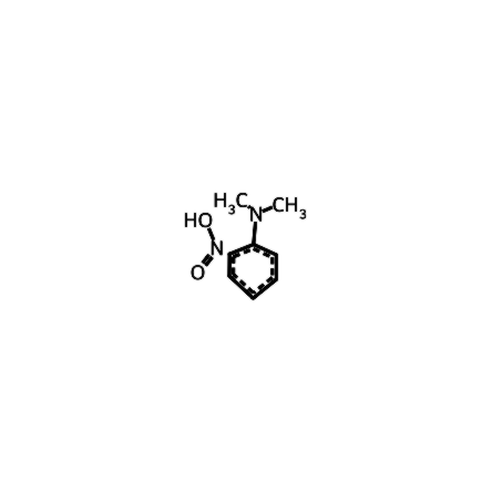 CN(C)c1ccccc1.O=NO